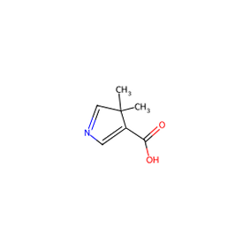 CC1(C)C=NC=C1C(=O)O